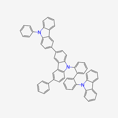 c1ccc(-c2ccc3c(c2)c2cc(-c4ccc5c(c4)c4ccccc4n5-c4ccccc4)ccc2n3-c2ccccc2-c2ccccc2-n2c3ccccc3c3ccccc32)cc1